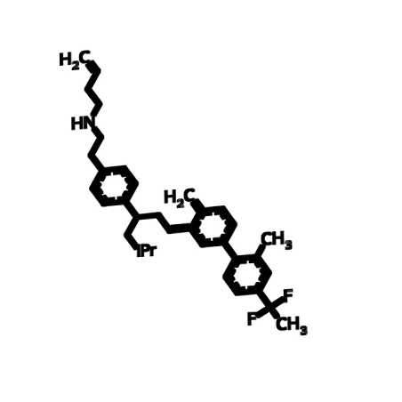 C=CCCNCCc1ccc(C(C/C=c2/cc(-c3ccc(C(C)(F)F)cc3C)ccc2=C)CC(C)C)cc1